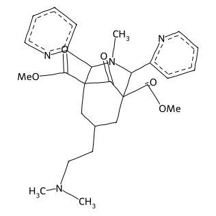 COC(=O)C12CC(CCN(C)C)CC(C(=O)OC)(C1=O)C(c1ccccn1)N(C)C2c1ccccn1